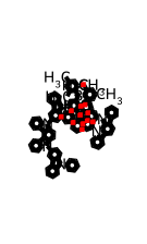 Cc1cc(C)c(B(c2cc(-n3c4ccccc4c4cc(-n5c6ccccc6c6c7c8ccccc8n(-c8ccc9c(c8)c8ccccc8n9-c8ccccc8)c7ccc65)ccc43)cc(-n3c4ccccc4c4cc(-n5c6ccccc6c6ccc7c8ccccc8n(-c8ccc9c(c8)c8ccccc8n9-c8ccccc8)c7c65)ccc43)c2)c2c(C)cc(C)cc2C)c(C)c1